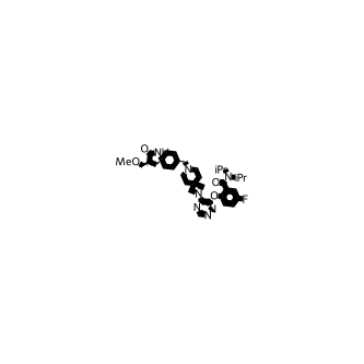 COC[C@@H]1C[C@]2(CC[C@@H](CN3CCC4(CC3)CN(c3ncnnc3Oc3ccc(F)cc3C(=O)N(C(C)C)C(C)C)C4)CC2)NC1=O